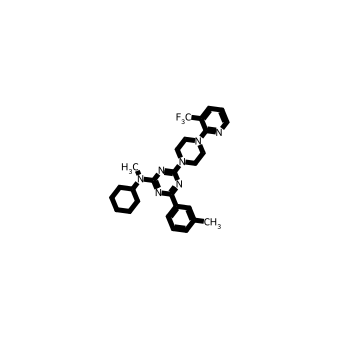 Cc1cccc(-c2nc(N3CCN(c4ncccc4C(F)(F)F)CC3)nc(N(C)C3CCCCC3)n2)c1